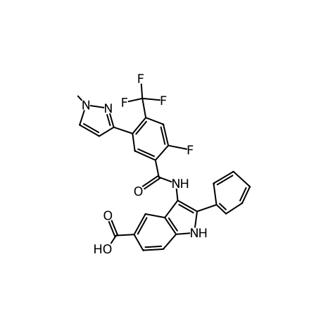 Cn1ccc(-c2cc(C(=O)Nc3c(-c4ccccc4)[nH]c4ccc(C(=O)O)cc34)c(F)cc2C(F)(F)F)n1